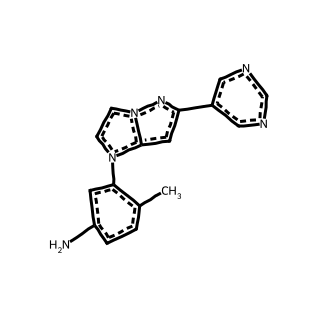 Cc1ccc(N)cc1-n1ccn2nc(-c3cncnc3)cc12